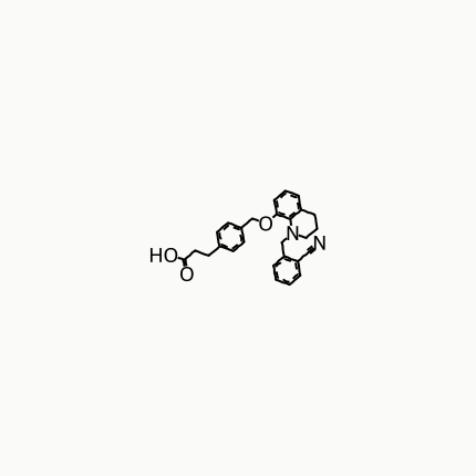 N#Cc1ccccc1CN1CCCc2cccc(OCc3ccc(CCC(=O)O)cc3)c21